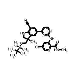 CNC(=O)c1ncc(Cl)cc1Nc1nccc(-c2cc(C#N)c3c(c2)C(C)(CO[Si](C)(C)C(C)(C)C)CN3)n1